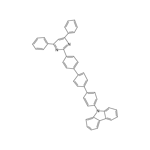 c1ccc(-c2cc(-c3ccccc3)nc(-c3ccc(-c4ccc(-c5ccc(-n6c7ccccc7c7ccccc76)cc5)cc4)cc3)n2)cc1